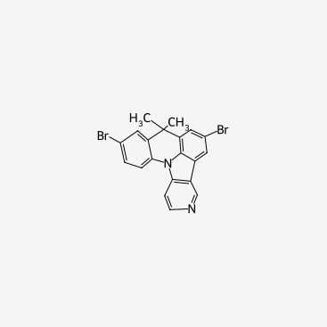 CC1(C)c2cc(Br)ccc2-n2c3ccncc3c3cc(Br)cc1c32